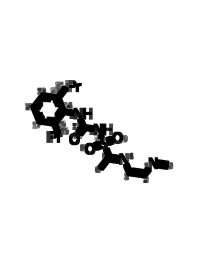 C=N/C=C\N=C(/C)S(=O)(=O)NC(=O)Nc1c(C(C)C)cccc1C(C)C